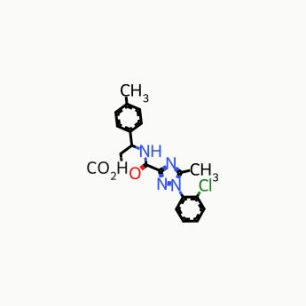 Cc1ccc(C(CC(=O)O)NC(=O)c2nc(C)n(-c3ccccc3Cl)n2)cc1